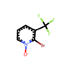 [O-][n+]1cccc(C(F)(F)F)c1Br